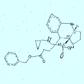 C[C@]12CCC[C@H]1Nc1ccccc1C2C(CCC(=O)OCc1ccccc1)(NC1CC1)C(=O)O